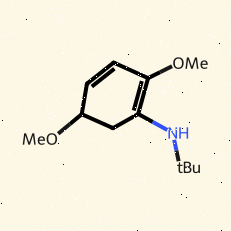 COC1=C(NC(C)(C)C)CC(OC)C=C1